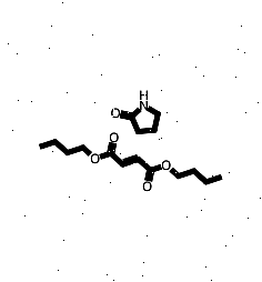 CCCCOC(=O)C=CC(=O)OCCCC.O=C1CCCN1